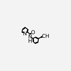 C#Cc1cccc(NC(=O)c2ccccn2)c1